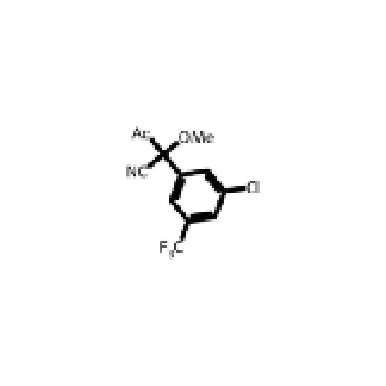 COC(C#N)(C(C)=O)c1cc(Cl)cc(C(F)(F)F)c1